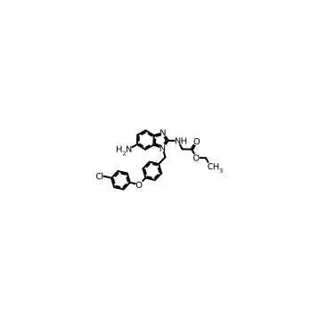 CCOC(=O)CNc1nc2ccc(N)cc2n1Cc1ccc(Oc2ccc(Cl)cc2)cc1